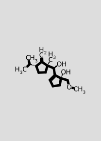 C=C1[C@@H](C(C)C)CC[C@]1(C)[C@@H](O)C1=CCC[C@]1(O)COC